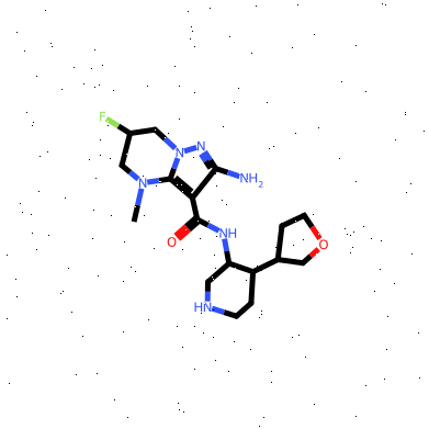 CN1CC(F)Cn2nc(N)c(C(=O)NC3CNCCC3C3CCOC3)c21